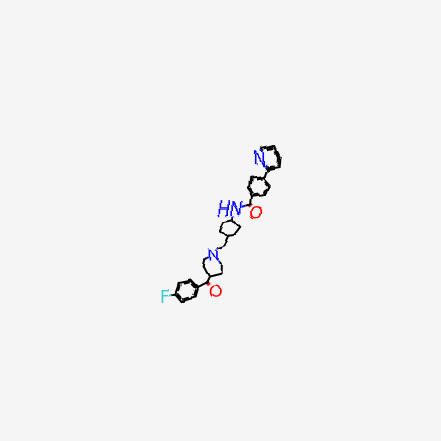 O=C(NC1CCC(CCN2CCC(C(=O)c3ccc(F)cc3)CC2)CC1)c1ccc(-c2ccccn2)cc1